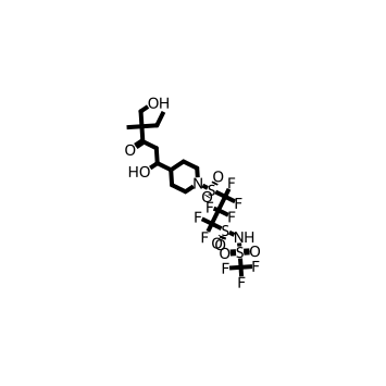 CCC(C)(CO)C(=O)CC(O)C1CCN(S(=O)(=O)C(F)(F)C(F)(F)C(F)(F)S(=O)(=O)NS(=O)(=O)C(F)(F)F)CC1